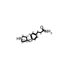 NC(=O)CCc1ccc(OC2CCNCC2)cc1